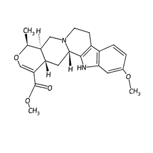 COC(=O)C1=CO[C@@H](C)[C@H]2CN3CCc4c([nH]c5cc(OC)ccc45)[C@@H]3C[C@H]12